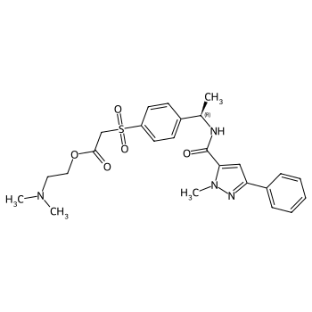 C[C@@H](NC(=O)c1cc(-c2ccccc2)nn1C)c1ccc(S(=O)(=O)CC(=O)OCCN(C)C)cc1